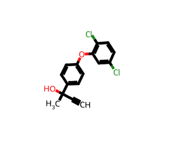 C#CC(C)(O)c1ccc(Oc2cc(Cl)ccc2Cl)cc1